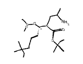 CC(N)CN(C(=O)OC(C)(C)C)[C@H](CCCC(C)(C)C)O[SiH](C)C